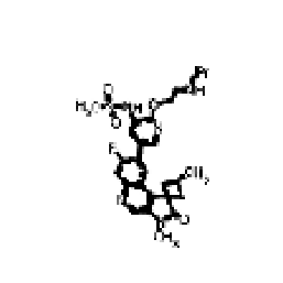 CC1CC2(C1)C(=O)N(C)c1cnc3cc(F)c(-c4cnc(OCCNC(C)C)c(NS(C)(=O)=O)c4)cc3c12